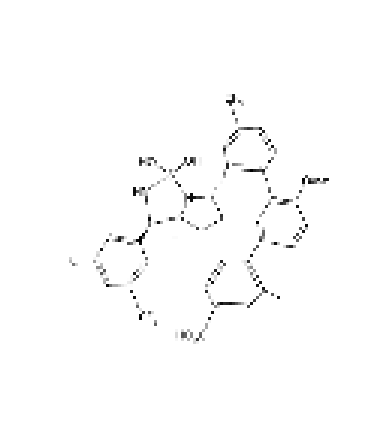 COc1ccc(-c2ccc(C(=O)O)cc2C)cc1-c1ccc(C(F)(F)F)cc1[C@@H]1CC[C@H]2[C@@H](c3cc(C(F)(F)F)cc(C(F)(F)F)c3)NS(O)(O)N12